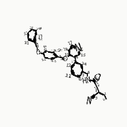 C/C=C(\C#N)C(=O)NCc1cccc(-c2cnccc2Oc2ccc(Oc3ccccc3)cc2)c1